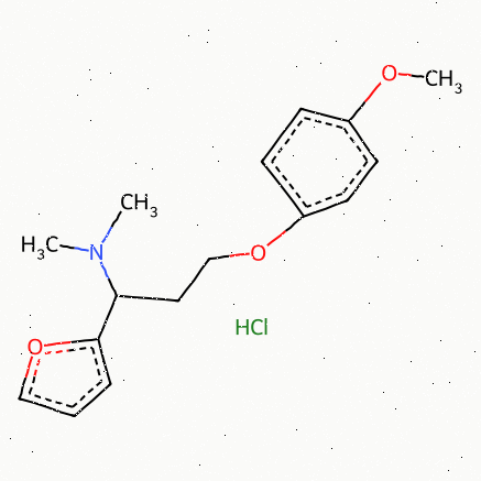 COc1ccc(OCCC(c2ccco2)N(C)C)cc1.Cl